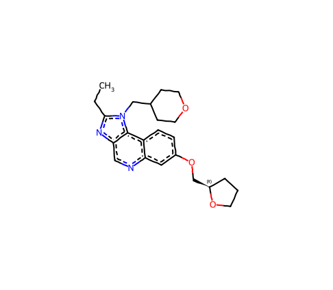 CCc1nc2cnc3cc(OC[C@H]4CCCO4)ccc3c2n1CC1CCOCC1